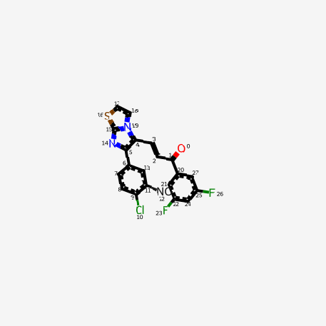 O=C(C=Cc1c(-c2ccc(Cl)c([N+](=O)[O-])c2)nc2sccn12)c1cc(F)cc(F)c1